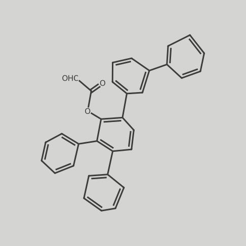 O=CC(=O)Oc1c(-c2cccc(-c3ccccc3)c2)ccc(-c2ccccc2)c1-c1ccccc1